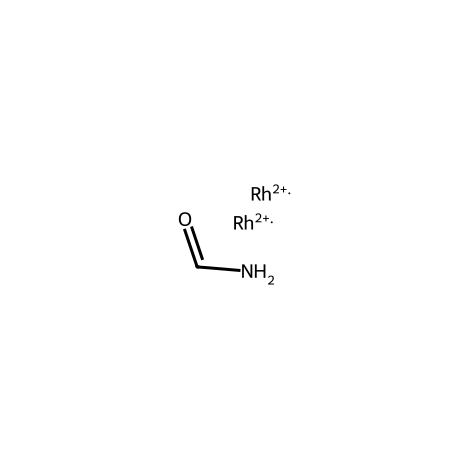 NC=O.[Rh+2].[Rh+2]